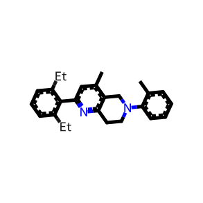 CCc1cccc(CC)c1-c1cc(C)c2c(n1)CCN(c1ccccc1C)C2